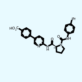 CC(C)c1ccc(NC(=O)N2CCC[C@H]2C(=O)Nc2ccc(-c3ccc(C(=O)O)cc3)cn2)cc1